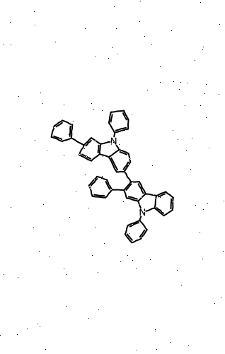 c1ccc(-c2ccc3c4cc(-c5cc6c7ccccc7n(-c7ccccc7)c6cc5-c5ccccc5)ccc4n(-c4ccccc4)c3c2)cc1